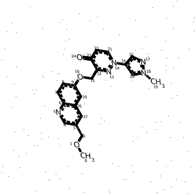 COCc1cnc2ccc(OCc3nn(-c4cnn(C)c4)ccc3=O)cc2c1